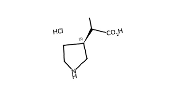 CC(C(=O)O)[C@@H]1CCNC1.Cl